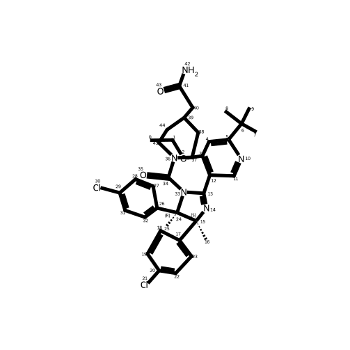 CCOc1cc(C(C)(C)C)ncc1C1=N[C@@](C)(c2ccc(Cl)cc2)[C@@](C)(c2ccc(Cl)cc2)N1C(=O)N1CCC(CC(N)=O)CC1